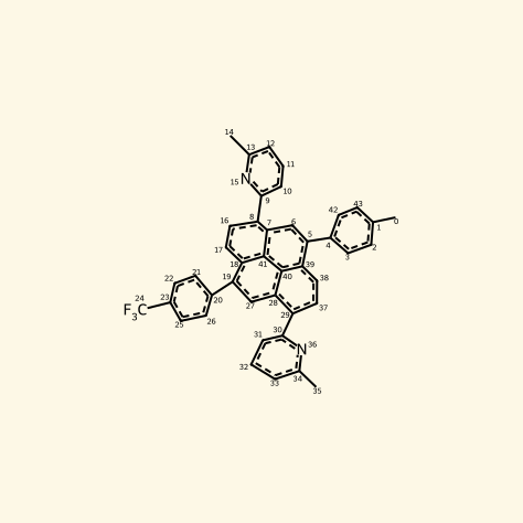 Cc1ccc(-c2cc3c(-c4cccc(C)n4)ccc4c(-c5ccc(C(F)(F)F)cc5)cc5c(-c6cccc(C)n6)ccc2c5c43)cc1